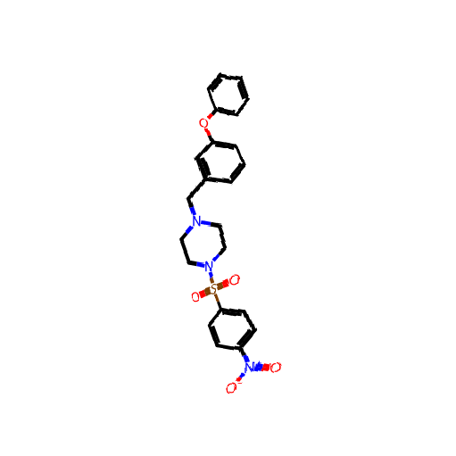 O=[N+]([O-])c1ccc(S(=O)(=O)N2CCN(Cc3cccc(Oc4ccccc4)c3)CC2)cc1